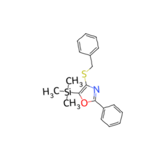 C[Si](C)(C)c1oc(-c2ccccc2)nc1SCc1ccccc1